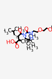 C=C(C(=O)O)[C@H](CC(C)C)C(=O)N(CC(C)(C)C)C(=O)NCCOCCOC